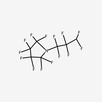 FC(F)C(F)(F)C(F)(F)N1C(F)(F)C(F)(F)C(F)(F)C1(F)F